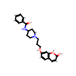 O=C(NC1CCN(CCCOc2ccc3ccc(=O)oc3c2)CC1)c1ccccc1